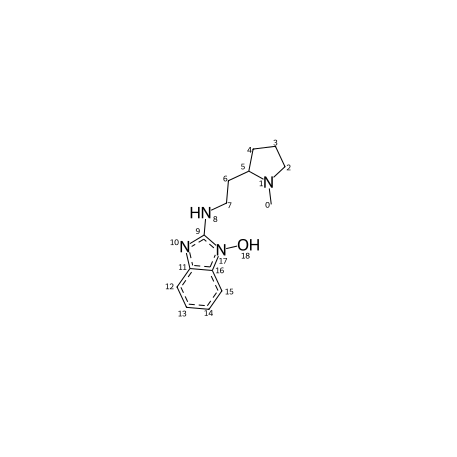 CN1CCCC1CCNc1nc2ccccc2n1O